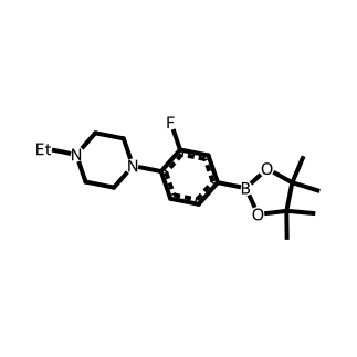 CCN1CCN(c2ccc(B3OC(C)(C)C(C)(C)O3)cc2F)CC1